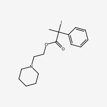 CC(I)(C(=O)OCCN1CCCCC1)c1ccccc1